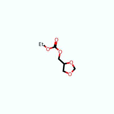 CCOC(=O)OCC1COCO1